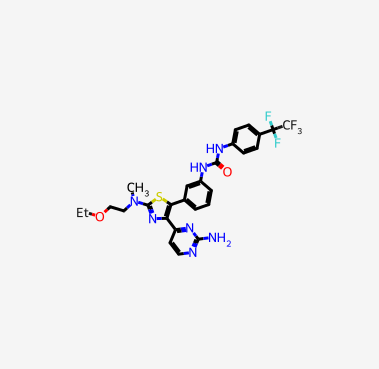 CCOCCN(C)c1nc(-c2ccnc(N)n2)c(-c2cccc(NC(=O)Nc3ccc(C(F)(F)C(F)(F)F)cc3)c2)s1